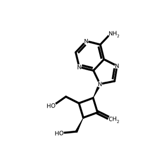 C=C1[C@@H](CO)C(CO)[C@H]1n1cnc2c(N)ncnc21